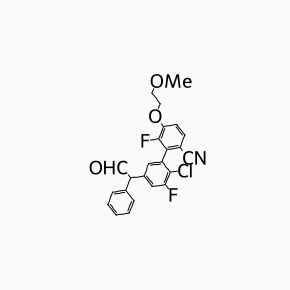 COCCOc1ccc(C#N)c(-c2cc(C(C=O)c3ccccc3)cc(F)c2Cl)c1F